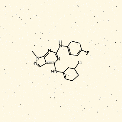 Cn1ncc2c(NC3=CCCC(Cl)C3)nc(NC3=CC=C(F)CC3)nc21